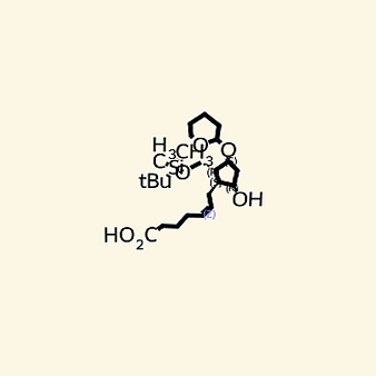 CC(C)(C)[Si](C)(C)OC[C@H]1[C@H](C/C=C\CCCC(=O)O)[C@H](O)C[C@@H]1OC1CCCCO1